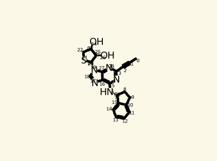 CC#Cc1nc(N[C@@H]2CCc3ccccc32)c2ncn([C@@H]3SC[C@@H](O)[C@H]3O)c2n1